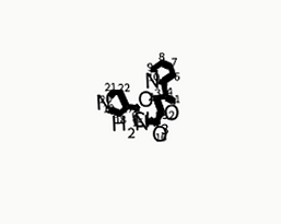 CC(Oc1c(-c2ccccn2)coc1C(N)=O)c1ccncc1